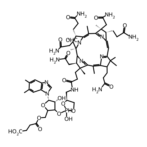 C/C1=C2N=C(/C=C3N=C(/C(C)=C4/[C@@H](CCC(N)=O)[C@](C)(CC(N)=O)[C@](C)(C5N=C1[C@](C)(CCC(=O)NC[C@H]1CO[PH](O)(OC6C(COC(=O)CCC(=O)O)O[C@H](n7cnc8cc(C)c(C)cc87)[C@@H]6O)O1)[C@H]5CC(N)=O)N4C=O)[C@@](C)(CC(N)=O)[C@@H]\3CCC(N)=O)C(C)(C)C/2CCC(N)=O